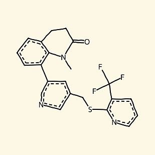 CN1C(=O)CCc2cccc(-c3cncc(CSc4ncccc4C(F)(F)F)c3)c21